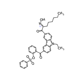 CCCCCC/C(=N\O)C(=O)c1ccc2c(c1)c1cc(C(=O)c3ccccc3OS(=O)(=O)c3ccccc3)ccc1n2CC